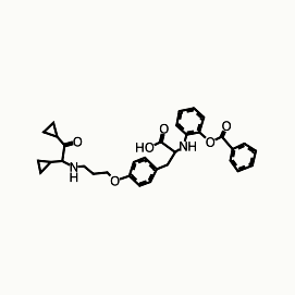 O=C(Oc1ccccc1NC(Cc1ccc(OCCCNC(C(=O)C2CC2)C2CC2)cc1)C(=O)O)c1ccccc1